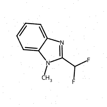 Cn1c(C(F)F)nc2c[c]ccc21